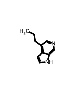 CCCc1cncc2[nH]ccc12